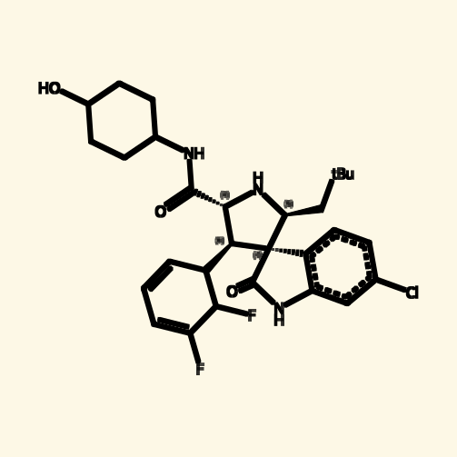 CC(C)(C)C[C@@H]1N[C@@H](C(=O)NC2CCC(O)CC2)[C@H](C2C=CC=C(F)C2F)[C@]12C(=O)Nc1cc(Cl)ccc12